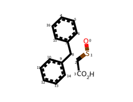 O=S=CC(=O)O.c1ccc(Cc2ccccc2)cc1